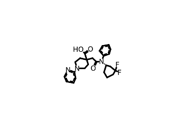 O=C(CC1(C(=O)O)CCN(c2ccccn2)CC1)N(c1ccccc1)[C@H]1CCCC(F)(F)C1